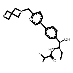 O=C(N[C@H](CF)[C@H](O)c1ccc(-c2ccc(CN3CC4(CSC4)C3)nc2)cc1)C(F)F